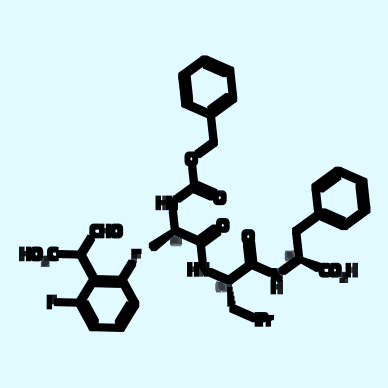 CC(C)C[C@H](NC(=O)[C@@H](C)NC(=O)OCc1ccccc1)C(=O)N[C@@H](Cc1ccccc1)C(=O)O.O=CC(C(=O)O)c1c(F)cccc1F